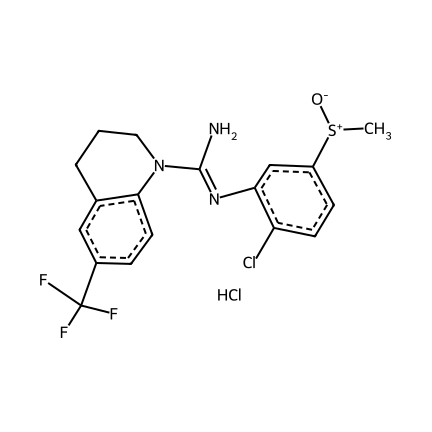 C[S+]([O-])c1ccc(Cl)c(N=C(N)N2CCCc3cc(C(F)(F)F)ccc32)c1.Cl